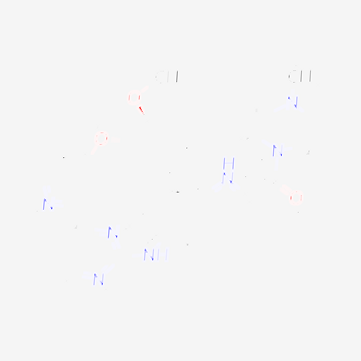 CO[C@H]1CCCC[C@@H]1Oc1ccnc(-c2ccnc(Nc3ccc4[nH]c(C(=O)N5CCN(C)CC5)cc4c3)n2)c1